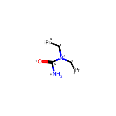 CC(C)CN(CC(C)C)C(N)=O